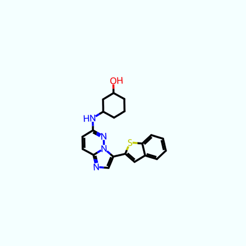 OC1CCCC(Nc2ccc3ncc(-c4cc5ccccc5s4)n3n2)C1